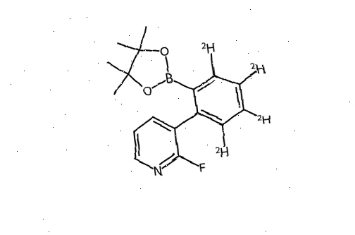 [2H]c1c([2H])c([2H])c(-c2cccnc2F)c(B2OC(C)(C)C(C)(C)O2)c1[2H]